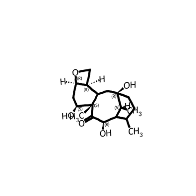 CC1CC[C@@]2(O)CC3[C@@H]4CO[C@@H]4C[C@H](O)[C@@]3(C)C(=O)[C@H](O)C1[C@@H]2C